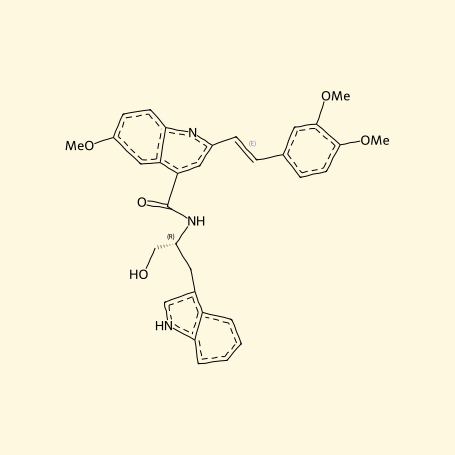 COc1ccc2nc(/C=C/c3ccc(OC)c(OC)c3)cc(C(=O)N[C@@H](CO)Cc3c[nH]c4ccccc34)c2c1